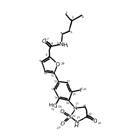 CC(C)CCNC(=O)c1ccc(-c2cc(O)c(N3CC(=O)NS3(=O)=O)c(F)c2)o1